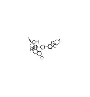 CC#C[C@]1(O)CC[C@H]2[C@@H]3CCC4=CC(=O)CCC4=C3[C@@H](c3ccc(-c4ccc5c(c4)OC4(CCC(C)(C)CC4)O5)cc3)C[C@@]21C